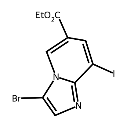 CCOC(=O)c1cc(I)c2ncc(Br)n2c1